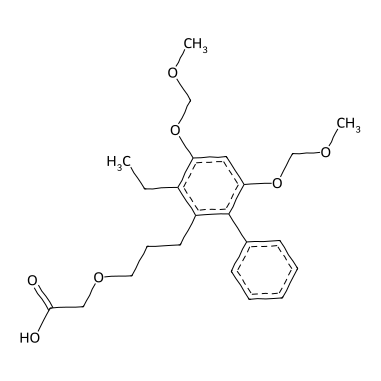 CCc1c(OCOC)cc(OCOC)c(-c2ccccc2)c1CCCOCC(=O)O